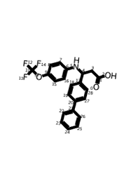 O=C(O)CC(Nc1ccc(OC(F)(F)F)cc1)c1ccc(-c2ccccc2)cc1